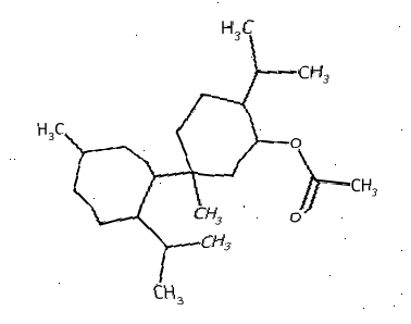 CC(=O)OC1CC(C)(C2CC(C)CCC2C(C)C)CCC1C(C)C